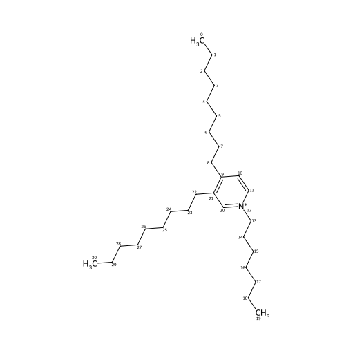 CCCCCCCCCc1cc[n+](CCCCCCC)cc1CCCCCCCCC